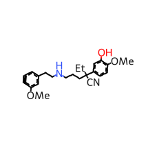 CCC(C#N)(CCCNCCc1cc#cc(OC)c1)c1ccc(OC)c(O)c1